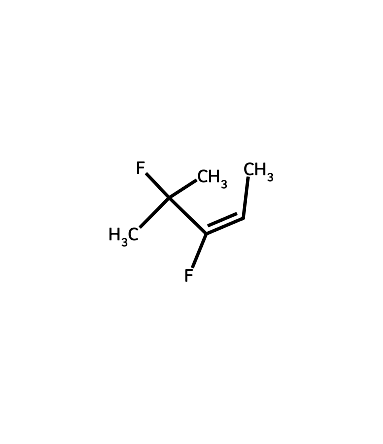 C/C=C(/F)C(C)(C)F